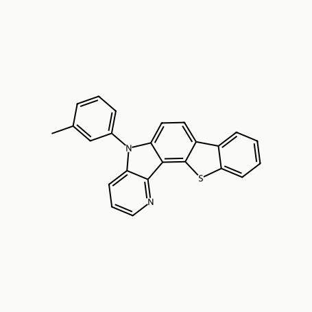 Cc1cccc(-n2c3cccnc3c3c4sc5ccccc5c4ccc32)c1